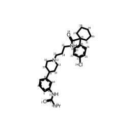 CCCC(=O)Nc1cccc(C2CCN(CCCNC(=O)C3(c4ccc(Cl)cc4)CCCCC3)CC2)c1